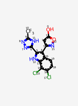 Oc1cc(-c2c(-c3nnc(C(F)(F)F)[nH]3)[nH]c3c(Cl)c(Cl)ccc23)no1